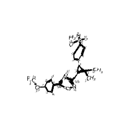 CC1(C)[C@@H](c2ccc(S(N)(=O)=O)cc2)[C@@H]1c1noc(-c2ccc(OC(F)(F)F)cc2)n1